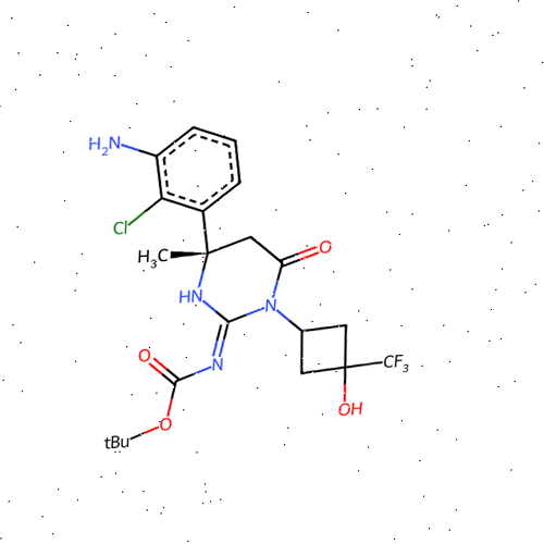 CC(C)(C)OC(=O)/N=C1\N[C@](C)(c2cccc(N)c2Cl)CC(=O)N1C1CC(O)(C(F)(F)F)C1